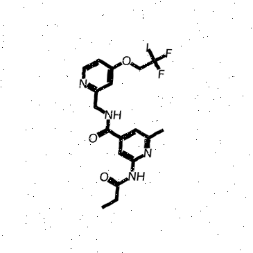 CCC(=O)Nc1cc(C(=O)NCc2cc(OCC(F)(F)I)ccn2)cc(C)n1